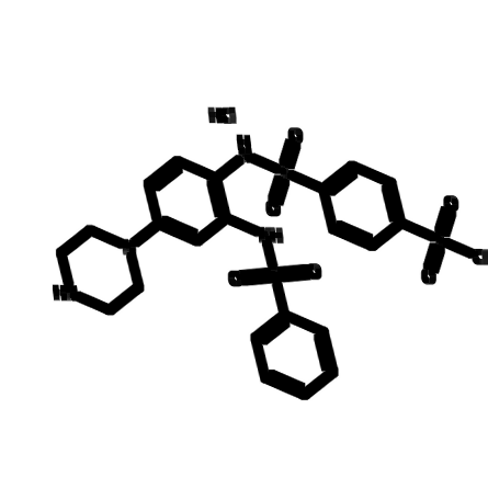 CS(=O)(=O)c1ccc(S(=O)(=O)Nc2ccc(N3CCNCC3)cc2NS(=O)(=O)c2ccccc2)cc1.Cl